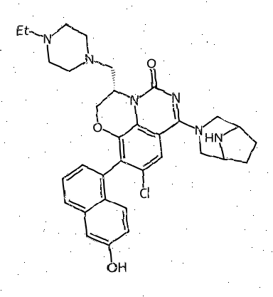 CCN1CCN(C[C@H]2COc3c(-c4cccc5cc(O)ccc45)c(Cl)cc4c(N5CC6CCC(C5)N6)nc(=O)n2c34)CC1